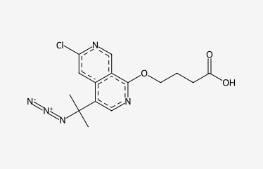 CC(C)(N=[N+]=[N-])c1cnc(OCCCC(=O)O)c2cnc(Cl)cc12